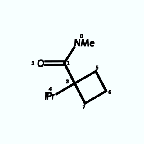 CNC(=O)C1(C(C)C)CCC1